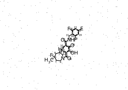 C[C@@]1(F)CCN2C[C@H](C1)n1cc(C(=O)NCc3c(F)cc(F)cc3F)c(=O)c(O)c1C2=O